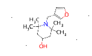 CC1(C)CC(O)CC(C)(C)N1Cc1ccoc1